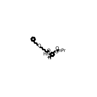 CCCC(=O)OCc1ccc(N(C)C)c(NC(=O)CCCCCOCCCc2ccccc2)c1